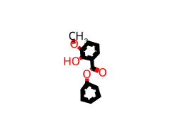 COc1cccc(C(=O)Oc2ccccc2)c1O